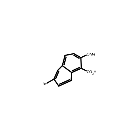 COc1ccc2cc(Br)ccc2c1C(=O)O